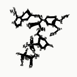 CCOc1cc(C(Nc2ccc3c(N)nccc3c2)C(=O)NCc2ccccc2S(C)(=O)=O)ccc1OC(C)C.O=C(O)C(F)(F)F